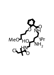 COCCCCOc1ccccc1C(=O)NC[C@@H](C[C@H](N)[C@@H](O)CNC(=O)C(C)(C)CCl)C(C)C